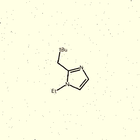 CCn1ccnc1CC(C)(C)C